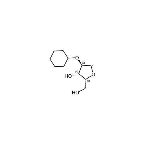 OC[C@H]1O[CH][C@H](OC2CCCCC2)[C@H]1O